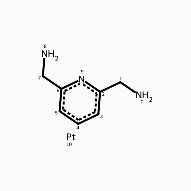 NCc1cccc(CN)n1.[Pt]